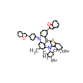 Cc1cc2c3c(c1)N(c1c(C)cc(C(C)(C)C)cc1C)c1c(sc4ccc(C(C)(C)C)cc14)B3c1cc(-c3cc4ccccc4o3)ccc1N2c1ccc(-c2cc3ccccc3o2)cc1